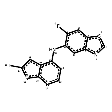 Fc1cc2scnc2cc1Nc1ccnc2sc(I)cc12